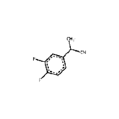 [CH2]C(C#N)c1ccc(F)c(F)c1